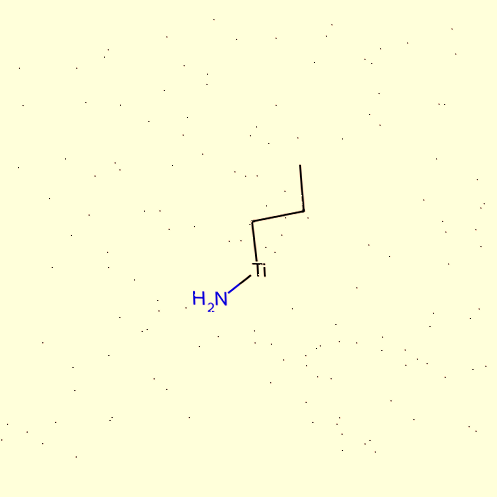 CC[CH2][Ti][NH2]